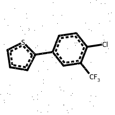 FC(F)(F)c1cc(-c2cccs2)ccc1Cl